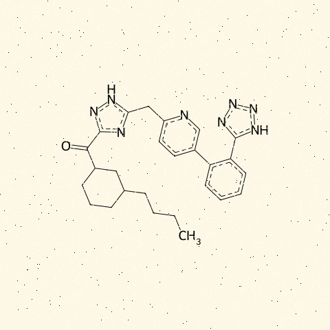 CCCCC1CCCC(C(=O)c2n[nH]c(Cc3ccc(-c4ccccc4-c4nnn[nH]4)cn3)n2)C1